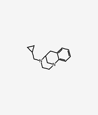 c1ccc2c(c1)CC1CN2CCN1CC1CC1